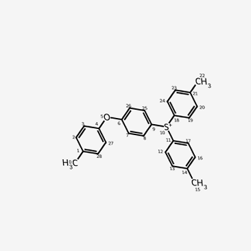 Cc1ccc(Oc2ccc([S+](c3ccc(C)cc3)c3ccc(C)cc3)cc2)cc1